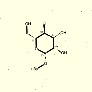 CCCCO[C@@H]1O[C@H](CO)[C@@H](O)[C@H](O)[C@@H]1O